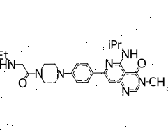 CCNCC(=O)N1CCN(c2ccc(-c3cc4ncn(C)c(=O)c4c(NC(C)C)n3)cc2)CC1